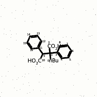 CCCCC(C(=O)O)(c1ccccc1)C(C(=O)O)c1ccccc1